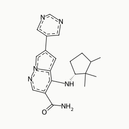 CC1CC[C@@H](Nc2c(C(N)=O)cnn3cc(-c4cncnc4)cc23)C1(C)C